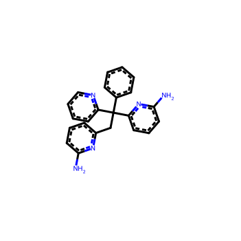 Nc1cccc(CC(c2ccccc2)(c2ccccn2)c2cccc(N)n2)n1